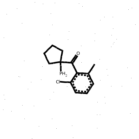 Cc1cccc(Cl)c1C(=O)C1(P)CCCC1